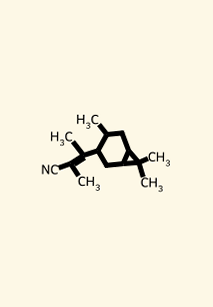 CC(C#N)=C(C)C1CC2C(CC1C)C2(C)C